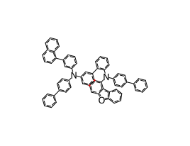 c1ccc(-c2ccc(N(c3cccc(-c4ccccc4N(c4ccc(-c5ccccc5)cc4)c4cccc5oc6ccccc6c45)c3)c3cccc(-c4cccc5ccccc45)c3)cc2)cc1